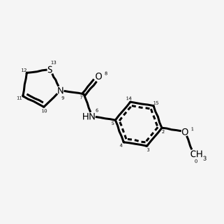 COc1ccc(NC(=O)N2C=CCS2)cc1